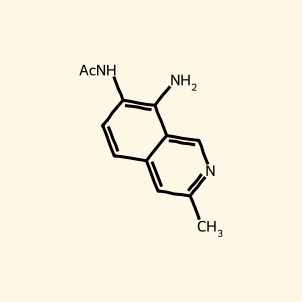 CC(=O)Nc1ccc2cc(C)ncc2c1N